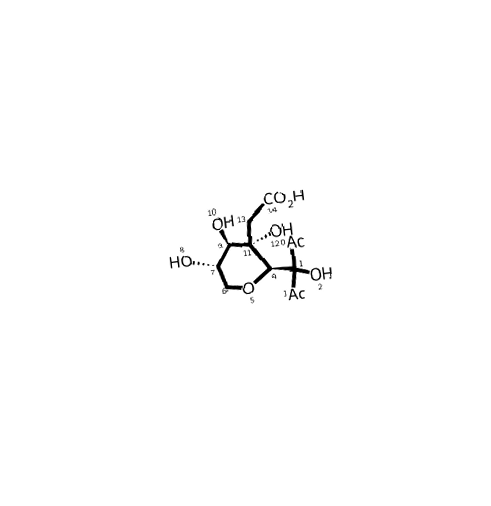 CC(=O)C(O)(C(C)=O)[C@H]1O[CH][C@H](O)[C@@H](O)[C@@]1(O)CC(=O)O